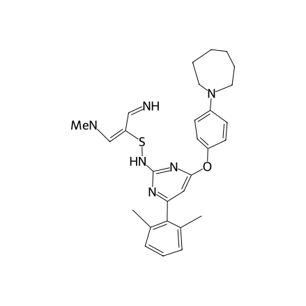 CN/C=C(\C=N)SNc1nc(Oc2ccc(N3CCCCCC3)cc2)cc(-c2c(C)cccc2C)n1